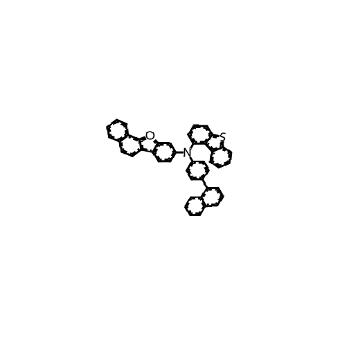 c1ccc2c(-c3ccc(N(c4ccc5c(c4)oc4c6ccccc6ccc54)c4cccc5sc6ccccc6c45)cc3)cccc2c1